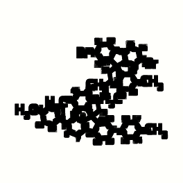 Cc1ccc(-c2ccc3c(c2)C(CCCCCCC2(c4cc(C)cc(C)c4)c4cc(Br)ccc4-c4ccc(Br)cc42)(c2cc(C)cc(C)c2)c2cc(-c4ccc(C)cc4)ccc2-3)cc1